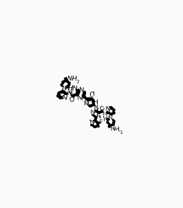 CC1(N)CCN(c2cccnc2NC(=O)c2nc(-c3ncc(Nc4ncc(-c5ncccc5F)nc4C(=O)Nc4ncccc4N4CCC(C)(N)CC4)cc3Cl)cnc2N)CC1